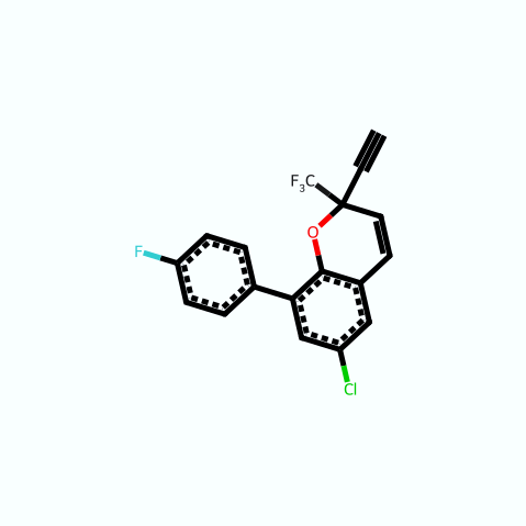 C#CC1(C(F)(F)F)C=Cc2cc(Cl)cc(-c3ccc(F)cc3)c2O1